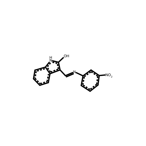 O=[N+]([O-])c1cccc(N=Cc2c(O)[nH]c3ccccc23)c1